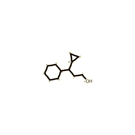 OCCC(C1CCCCC1)C1CC1